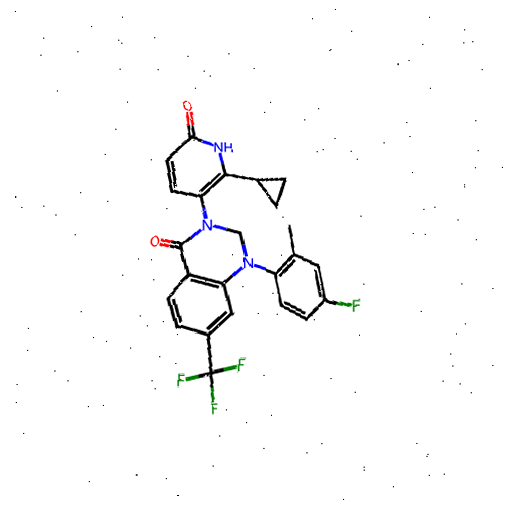 Cc1cc(F)ccc1N1CN(c2ccc(=O)[nH]c2C2CC2)C(=O)c2ccc(C(F)(F)F)cc21